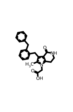 Cc1c(Cc2ccccc2Cc2ccccc2)c2c(n1CC(=O)O)CCNC2=O